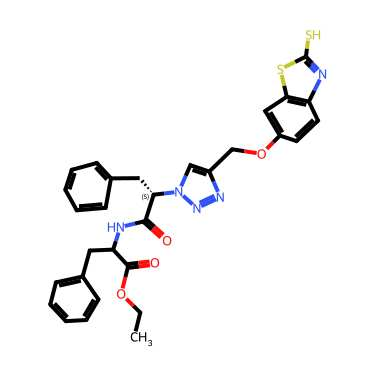 CCOC(=O)C(Cc1ccccc1)NC(=O)[C@H](Cc1ccccc1)n1cc(COc2ccc3nc(S)sc3c2)nn1